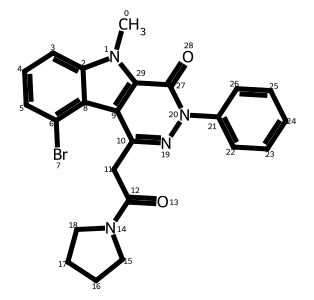 Cn1c2cccc(Br)c2c2c(CC(=O)N3CCCC3)nn(-c3ccccc3)c(=O)c21